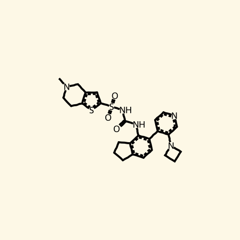 CN1CCc2sc(S(=O)(=O)NC(=O)Nc3c(-c4ccncc4N4CCC4)ccc4c3CCC4)cc2C1